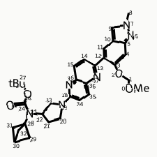 COCOc1cc2nn(C)cc2cc1-c1ccc2nc(N3CCC(N(C(=O)OC(C)(C)C)C45CC(C4)C5)C3)ccc2n1